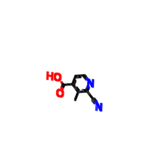 Cc1c(C(=O)O)ccnc1C#N